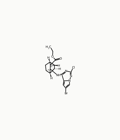 CCOC(=O)[C@H]1[C@H]2CC[C@H](CC2)[C@@H]1Nc1nc(Cl)nn2cc(Br)cc12